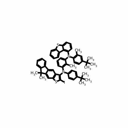 Cc1cc(C(C)(C)C)ccc1N(c1cccc(N(c2ccc(C(C)(C)C)cc2)c2c(I)sc3cc4c(cc23)-c2ccccc2C4(C)C)c1C)c1cccc2sc3ccccc3c12